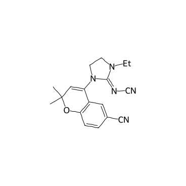 CCN1CCN(C2=CC(C)(C)Oc3ccc(C#N)cc32)/C1=N/C#N